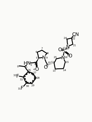 CC(NC(=O)[C@H]1CCCN1C(=O)[C@H]1CCCN(S(=O)(=O)N2CC(C#N)C2)C1)c1cccc(F)c1F